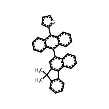 CC1(C)c2ccccc2-c2c1cc(-c1c3ccccc3c(-c3cccs3)c3ccccc13)c1ccccc21